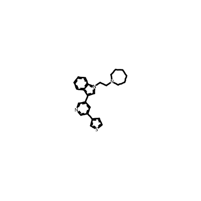 c1ccc2c(c1)c(-c1cncc(-c3ccsc3)c1)cn2CCN1CCCCCC1